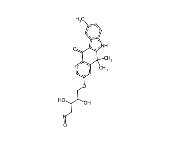 Cc1ccc2[nH]c3c(c2c1)C(=O)c1ccc(OCC(O)C(O)CN=O)cc1C3(C)C